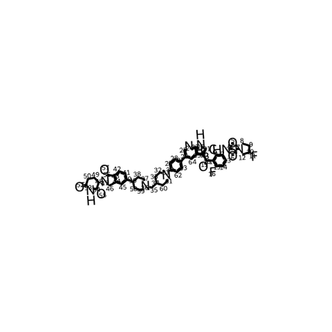 Cc1c(NS(=O)(=O)N2CC[C@@H](F)C2)ccc(F)c1C(=O)c1c[nH]c2ncc(-c3ccc(N4CCC(CN5CCC(c6ccc7c(c6)CN([C@H]6CCC(=O)NC6=O)C7=O)CC5)CC4)cc3)cc12